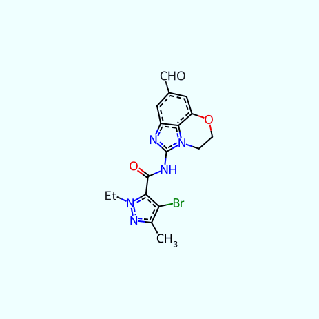 CCn1nc(C)c(Br)c1C(=O)Nc1nc2cc(C=O)cc3c2n1CCO3